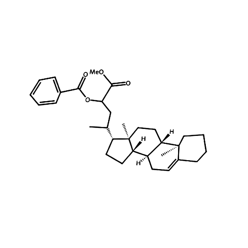 COC(=O)C(CC(C)[C@H]1CC[C@H]2[C@@H]3CC=C4CCCC[C@]4(C)[C@H]3CC[C@]12C)OC(=O)c1ccccc1